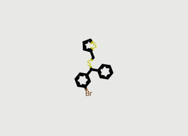 Brc1cccc(C(SCc2cccs2)c2ccccc2)c1